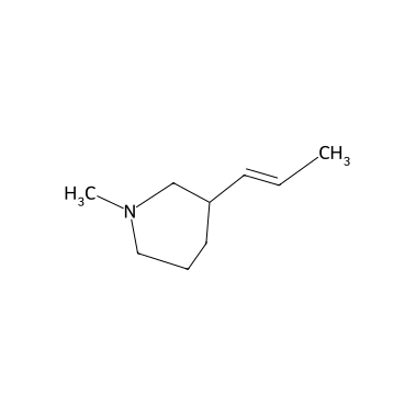 C/C=C/C1CCCN(C)C1